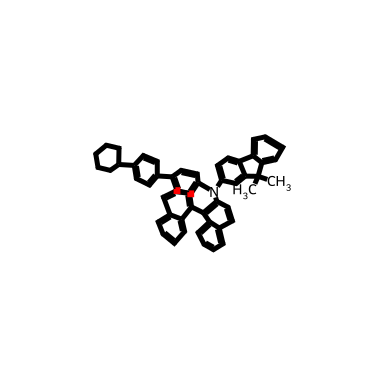 CC1(C)c2ccccc2-c2ccc(N(c3ccc(-c4ccc(C5CCCCC5)cc4)cc3)c3ccc4ccccc4c3-c3cccc4ccccc34)cc21